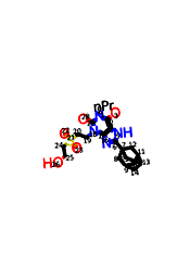 CCCn1c(=O)c2[nH]c(C34CC5CC(C3)C(C5)C4)nc2n(CCS(=O)(=O)CCO)c1=O